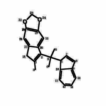 CC1=C(C(C)(C)C2C=Cc3ccccc32)c2cc3c(cc2C1)OCO3